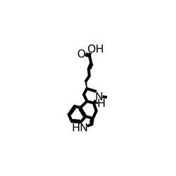 CN1C[C@H](CC/C=C/C(=O)O)CC2c3cccc4[nH]cc(c34)C[C@H]21